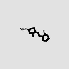 COC1=CCC(CCc2ccccc2F)C(C)=C1